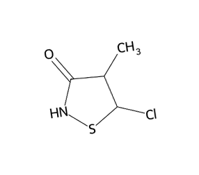 CC1C(=O)NSC1Cl